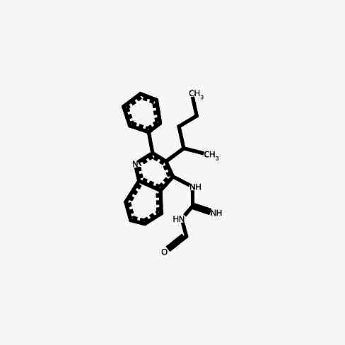 CCCC(C)c1c(-c2ccccc2)nc2ccccc2c1NC(=N)NC=O